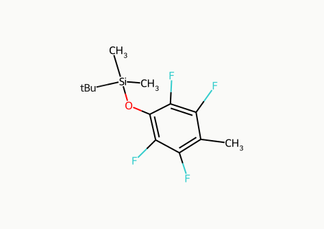 Cc1c(F)c(F)c(O[Si](C)(C)C(C)(C)C)c(F)c1F